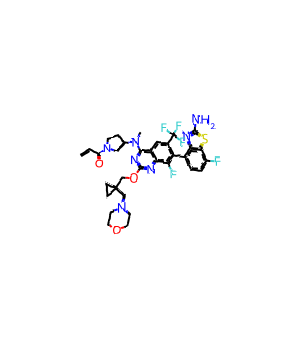 C=CC(=O)N1CCC(N(C)c2nc(OCC3(CN4CCOCC4)CC3)nc3c(F)c(-c4ccc(F)c5sc(N)nc45)c(C(F)(F)F)cc23)C1